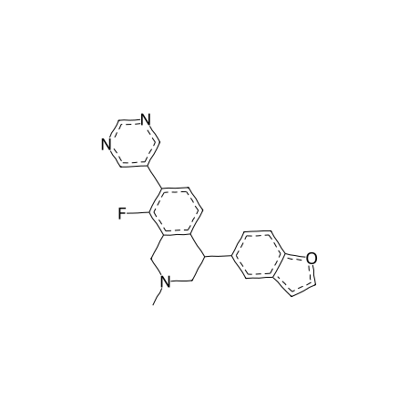 CN1Cc2c(ccc(-c3cncnc3)c2F)C(c2ccc3occc3c2)C1